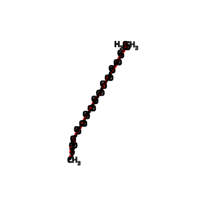 C=C(C)C(=O)OCCCCCC(=O)OCCCCCC(=O)OCCCCCC(=O)OCCCCCC(=O)OCCCCCC(=O)OCCCCCC(=O)OCCCCCC(=O)OCCCCCC(=O)OCCCCCC(=O)OCCCCCC(=O)OCCCCCC(=O)OCCCCCCOc1ccc(C(=O)Oc2ccc(C3CCC(CCCCC)CC3)cc2)cc1